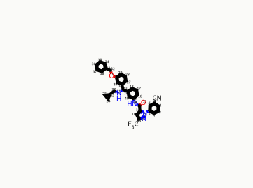 N#Cc1cccc(-n2nc(C(F)(F)F)cc2C(=O)Nc2cccc(C(NCC3CC3)c3cccc(OCc4ccccc4)c3)c2)c1